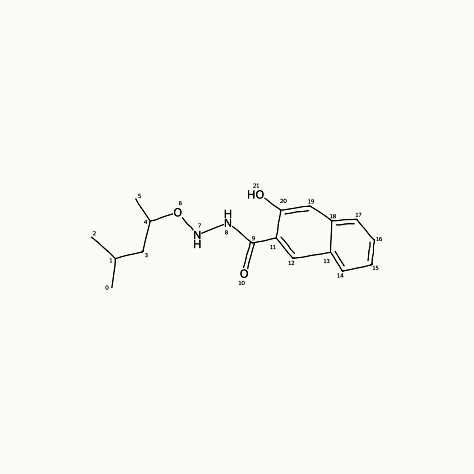 CC(C)CC(C)ONNC(=O)c1cc2ccccc2cc1O